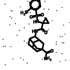 Bc1ccccc1S(=O)(=O)NC1(C(=O)NC2C3CC4CC2CC(C(N)=O)(C4)C3)CC1